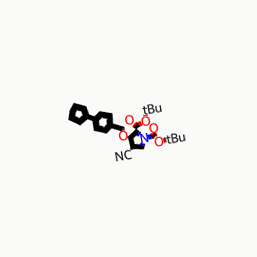 CC(C)(C)OC(=O)[C@@H]1[C@@H](OCc2ccc(-c3ccccc3)cc2)[C@H](C#N)CN1C(=O)OC(C)(C)C